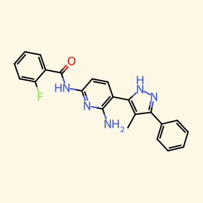 Cc1c(-c2ccccc2)n[nH]c1-c1ccc(NC(=O)c2ccccc2F)nc1N